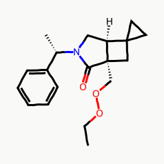 CCOOC[C@@]12CC3(CC3)[C@@H]1CN([C@@H](C)c1ccccc1)C2=O